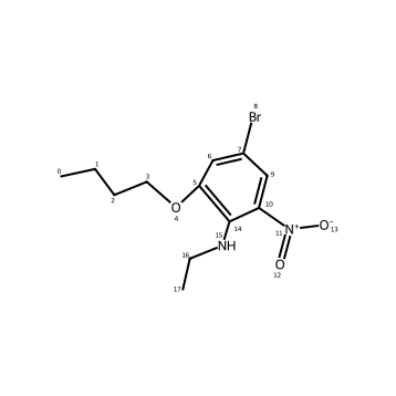 CCCCOc1cc(Br)cc([N+](=O)[O-])c1NCC